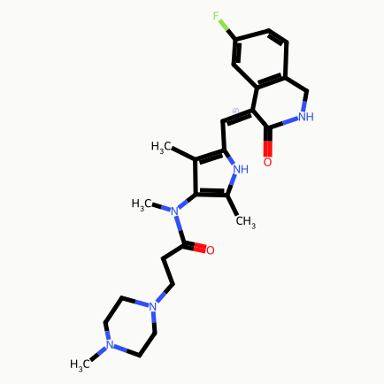 Cc1[nH]c(/C=C2\C(=O)NCc3ccc(F)cc32)c(C)c1N(C)C(=O)CCN1CCN(C)CC1